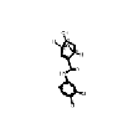 O=C(Nc1ccc(Cl)c(Cl)c1)C1=C[C@H]2O[C@@H]1C[C@@H]2O